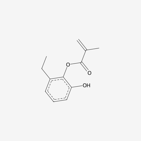 C=C(C)C(=O)Oc1c(O)cccc1CC